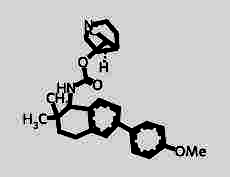 COc1ccc(-c2ccc3c(c2)CCC(C)(C)C3NC(=O)O[C@H]2CN3CCC2CC3)cc1